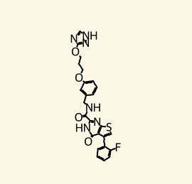 O=C(NCc1cccc(OCCCOc2nc[nH]n2)c1)c1nc2scc(-c3ccccc3F)c2c(=O)[nH]1